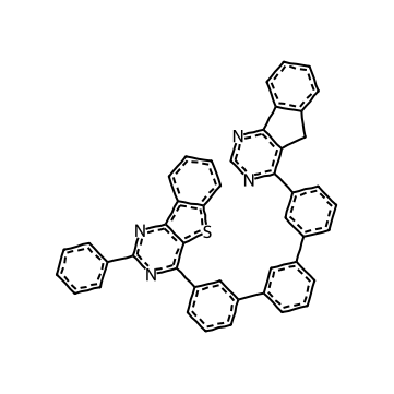 c1ccc(-c2nc(-c3cccc(-c4cccc(-c5cccc(-c6ncnc7c6Cc6ccccc6-7)c5)c4)c3)c3sc4ccccc4c3n2)cc1